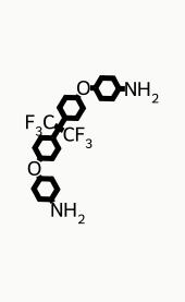 NC1CCC(OC2CCC(C(C3CCC(OC4CCC(N)CC4)CC3)(C(F)(F)F)C(F)(F)F)CC2)CC1